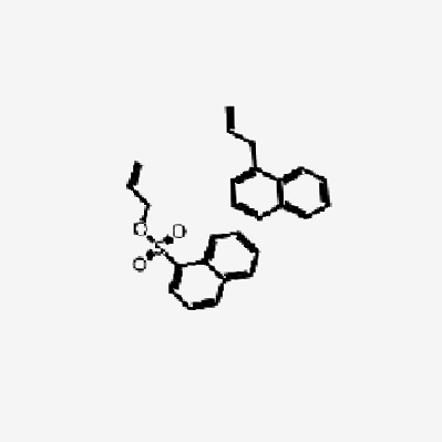 C=CCOS(=O)(=O)c1cccc2ccccc12.C=CCc1cccc2ccccc12